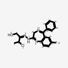 CC(Cl)C(CO)=NNC1=Nc2ccc(F)cc2C(c2ccccc2)=NC1